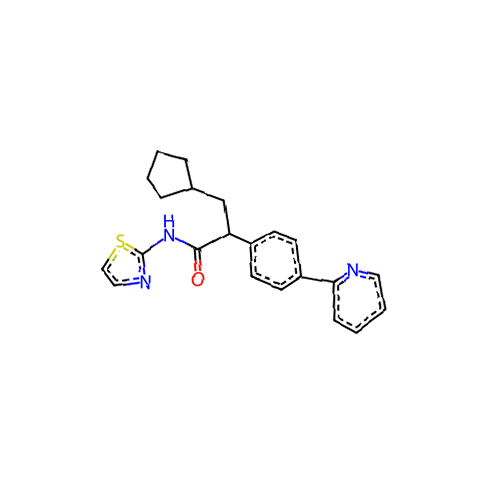 O=C(Nc1nccs1)C(CC1CCCC1)c1ccc(-c2ccccn2)cc1